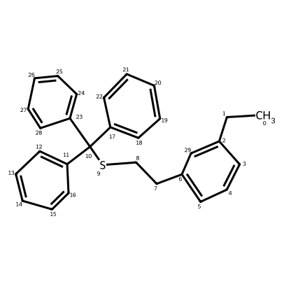 CCc1cccc(CCSC(c2ccccc2)(c2ccccc2)c2ccccc2)c1